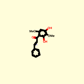 COc1cc(O)c(OC)c(O)c1C(=O)/C=C/c1ccccc1